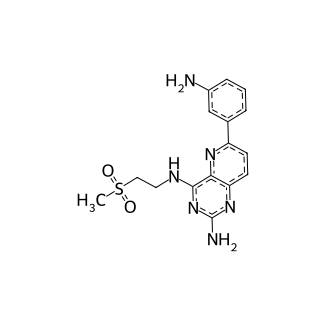 CS(=O)(=O)CCNc1nc(N)nc2ccc(-c3cccc(N)c3)nc12